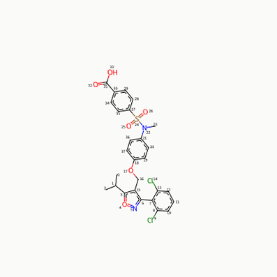 CC(C)c1onc(-c2c(Cl)cccc2Cl)c1COc1ccc(N(C)S(=O)(=O)c2ccc(C(=O)O)cc2)cc1